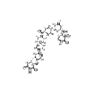 CN1C[C@H](Nc2cnn(C)c(=O)c2Br)C[C@H](c2ccc(C(=O)N3CCC4(CC3)CCN(c3ccc(OC5CCC(=O)NC5=O)cn3)CC4)cc2)C1